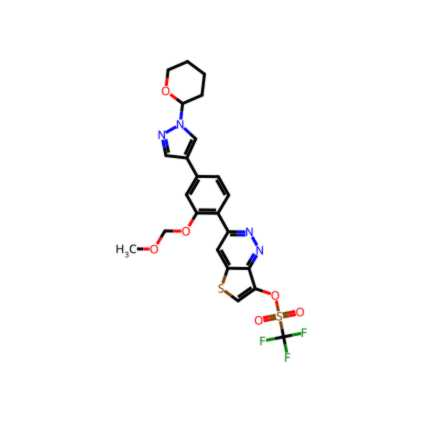 COCOc1cc(-c2cnn(C3CCCCO3)c2)ccc1-c1cc2scc(OS(=O)(=O)C(F)(F)F)c2nn1